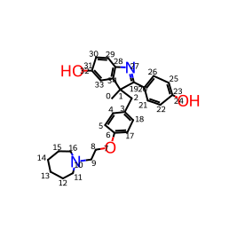 CC1(Cc2ccc(OCCN3CCCCCC3)cc2)C(c2ccc(O)cc2)=Nc2ccc(O)cc21